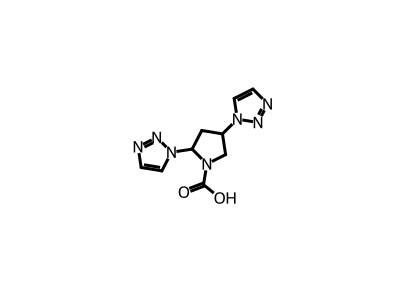 O=C(O)N1CC(n2ccnn2)CC1n1ccnn1